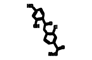 COC(=O)c1ccc(CC(=O)c2ccc(O)cc2O)c(Cl)c1